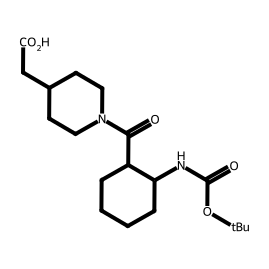 CC(C)(C)OC(=O)NC1CCCCC1C(=O)N1CCC(CC(=O)O)CC1